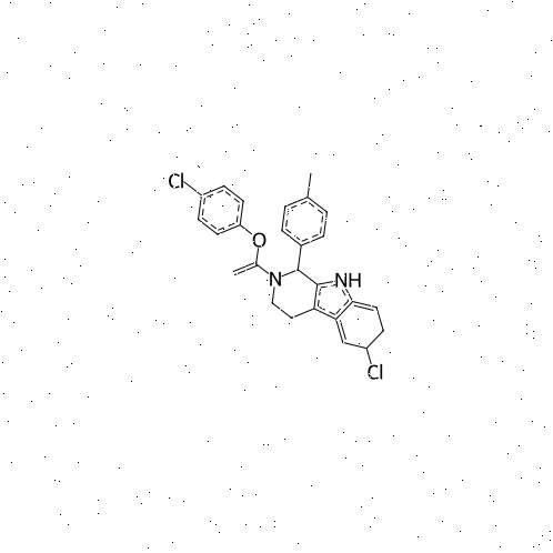 C=C(Oc1ccc(Cl)cc1)N1CCc2c([nH]c3c2=CC(Cl)CC=3)C1c1ccc(C)cc1